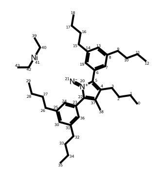 CCCCC1=C(c2cc(CCCC)cc(CCCC)c2)[N+](=[N-])C(c2cc(CCCC)cc(CCCC)c2)=C1C.C[CH2][Ni][CH2]C